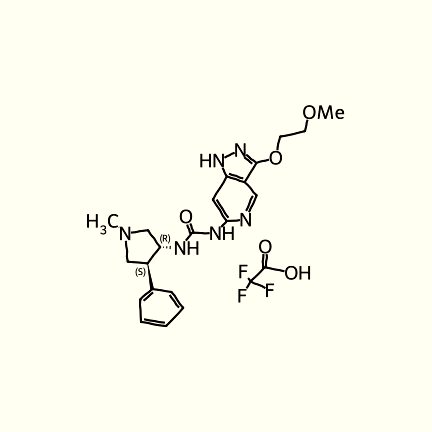 COCCOc1n[nH]c2cc(NC(=O)N[C@H]3CN(C)C[C@@H]3c3ccccc3)ncc12.O=C(O)C(F)(F)F